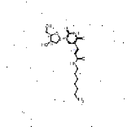 NCCCCCCNC(=O)/C=C/c1cn([C@H]2C[C@@H](O)[C@@H](CO)O2)c(=O)[nH]c1=O